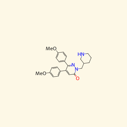 COc1ccc(-c2cc(=O)n(CC3CCCNC3)nc2-c2ccc(OC)cc2)cc1